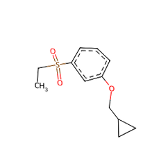 CCS(=O)(=O)c1cccc(OCC2CC2)c1